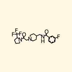 O=C(NCC1CCN(CC(=O)N2CCCC2C(F)(F)F)CC1)c1cccc(F)c1